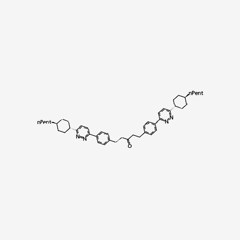 CCCCC[C@H]1CC[C@H](c2ccc(-c3ccc(CCC(=O)CCc4ccc(-c5ccc([C@H]6CC[C@H](CCCCC)CC6)nn5)cc4)cc3)nn2)CC1